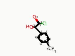 O=C(Cl)C(O)c1ccc(C(F)(F)F)cc1